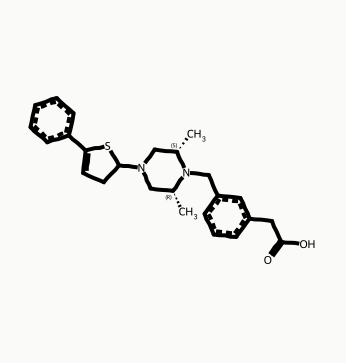 C[C@@H]1CN(C2CC=C(c3ccccc3)S2)C[C@H](C)N1Cc1cccc(CC(=O)O)c1